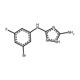 Nc1nc(Nc2cc(F)cc(Br)c2)n[nH]1